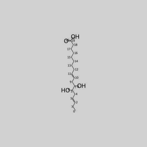 CCC=CCC(O)C(O)CC=CCCCCCCCC(=O)O